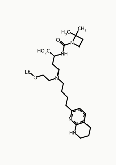 CCOCCN(CCCCc1ccc2c(n1)NCCC2)CC[C@H](NC(=O)N1CCC1(C)C)C(=O)O